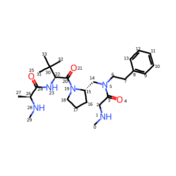 CNCC(=O)N(CCc1ccccc1)C[C@@H]1CCCN1C(=O)[C@@H](NC(=O)[C@H](C)NC)C(C)(C)C